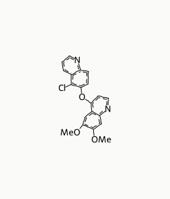 COc1cc2nccc(Oc3ccc4ncccc4c3Cl)c2cc1OC